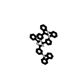 c1ccc(-c2nc(-c3cccc(-n4c5ccccc5c5ccccc54)c3)nc(-c3cccc(-n4c5ccccc5n5c6ccccc6c(-c6ccccc6)c45)c3)n2)cc1